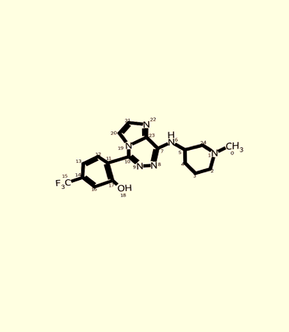 CN1CCCC(Nc2nnc(-c3ccc(C(F)(F)F)cc3O)n3ccnc23)C1